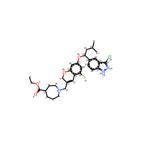 CCOC(=O)C1CCCN(CC2=Cc3c(F)cc(OC(CC(C)C)c4ccc5[nH]nc(Cl)c5c4)cc3OC2)CC1